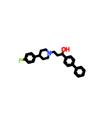 OC(CCN1CCC(c2ccc(F)cc2)CC1)c1ccc(-c2ccccc2)cc1